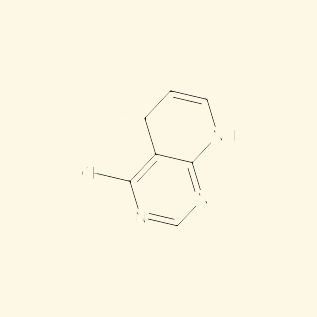 C[C@@H]1C=CNc2ncnc(Cl)c21